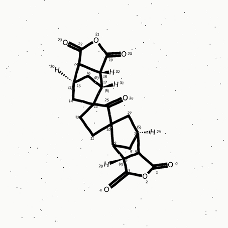 O=C1OC(=O)[C@H]2C1[C@H]1CC2C2(CCC3(C[C@@H]4C[C@@H]3[C@H]3C(=O)OC(=O)C43)C2=O)C1